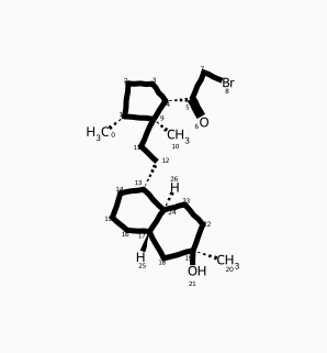 C[C@@H]1CC[C@H](C(=O)CBr)[C@@]1(C)CC[C@H]1CCC[C@H]2C[C@](C)(O)CC[C@H]12